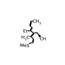 C#CCC(/C(=C/C=C\C)CC)=C(C)\C=C/CSC